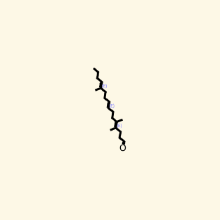 CCC/C=C(\C)CC/C=C/CC/C(C)=C(\C)CCC=O